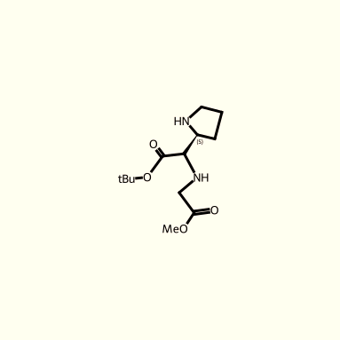 COC(=O)CNC(C(=O)OC(C)(C)C)[C@@H]1CCCN1